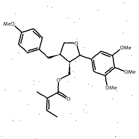 C/C=C(/C)C(=O)OC[C@@H]1C(c2cc(OC)c(OC)c(OC)c2)OC[C@@H]1Cc1ccc(OC)cc1